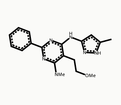 CNc1nc(-c2ccccc2)nc(Nc2cc(C)[nH]n2)c1CCOC